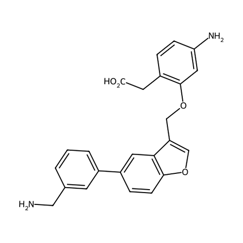 NCc1cccc(-c2ccc3occ(COc4cc(N)ccc4CC(=O)O)c3c2)c1